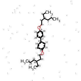 CCCC(CC)CCOc1ccc(-c2ccc(OCCC(CC)CCC)cc2)cc1